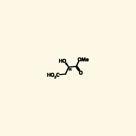 COC(=O)[C@H](O)CC(=O)O